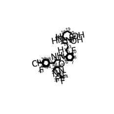 N[C@H](C(=O)Nc1cccc(F)c1CC[C@H]1CN[C@@H]2CCCS(O)(O)N1C2)[C@H](c1cnc(C(F)(F)F)nc1)c1ccc(Cl)c(F)c1